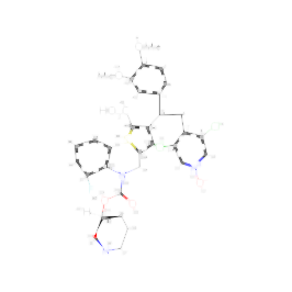 COc1ccc(C(Cc2c(Cl)c[n+]([O-])cc2Cl)c2cc(CN(C(=O)O[C@@H]3CN4CCC3CC4)c3ccccc3F)sc2C(=O)O)cc1OC